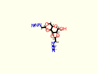 [N-]=[N+]=NCC1OCC2OC(O)C3OC(CN=[N+]=[N-])OC3C2O1